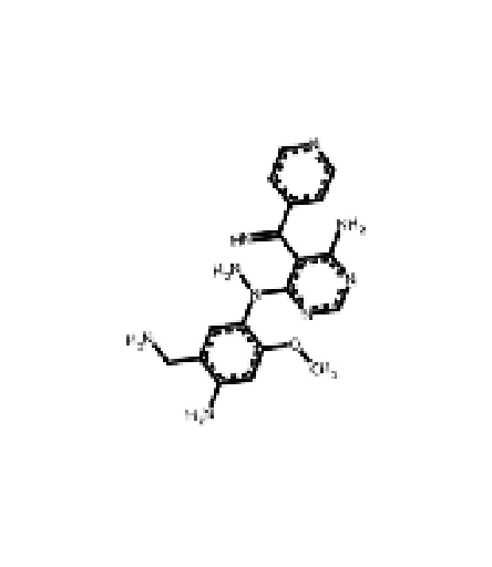 COc1cc(N)c(CN)cc1N(N)c1ncnc(N)c1C(=N)c1ccncc1